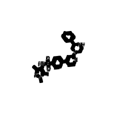 Cc1nn(C)c(C)c1NS(=O)(=O)c1ccc(-c2ccnc(N3CCNC(c4ccccc4)C3)c2)cc1